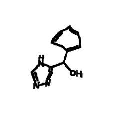 OC(c1ccccc1)c1nnc[nH]1